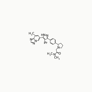 Cc1cc(-c2[nH]nc(-c3ccc(C4CCCN4CC(=O)N(C)C)cc3)c2C(C)C)cn2ncnc12